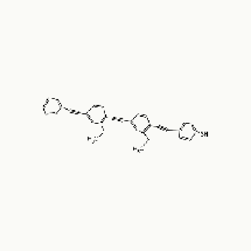 CCc1cc(C#Cc2ccc(C#Cc3ccccc3)cc2CC)ccc1C#Cc1ccc(S)cc1